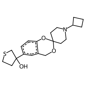 OC1(c2ccc3c(c2)COC2(CCN(C4CCC4)CC2)O3)CCSC1